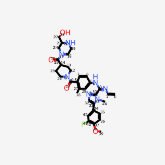 C=C/N=C(/Nc1ccc(C(=O)N2CCC(C(=O)N3CCNC(CO)C3)CC2)c(C)c1)c1ncc(-c2ccc(OC)c(F)c2)n1C